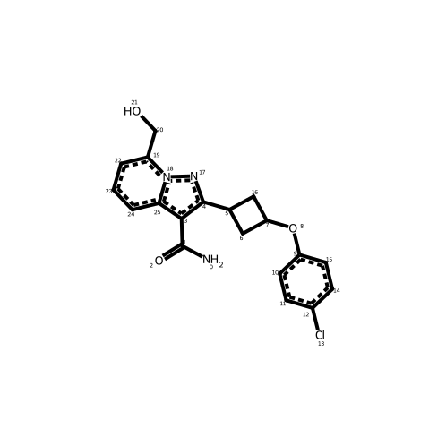 NC(=O)c1c(C2CC(Oc3ccc(Cl)cc3)C2)nn2c(CO)cccc12